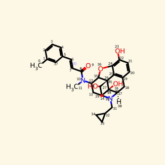 Cc1cccc(/C=C/C(=O)N(C)C2CC[C@@]3(O)[C@H]4Cc5ccc(O)c6c5[C@@]3(C(O)CN4CC3CC3)C2O6)c1